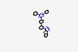 c1ccc(-c2nc(-c3ccccc3)nc(-c3ccc(-c4cccc(-c5ncnc6c5Cc5ccccc5-6)c4)cc3)n2)cc1